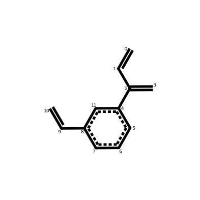 C=CC(=C)c1cccc(C=C)c1